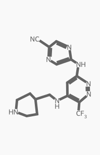 N#Cc1cnc(Nc2cc(NCC3CCNCC3)c(C(F)(F)F)nn2)cn1